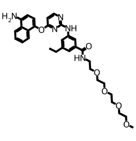 CCc1cc(Nc2nccc(Oc3ccc(N)c4ccccc34)n2)cc(C(=O)NCCOCCOCCOCCOC)c1